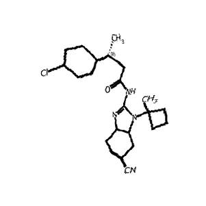 C[C@H](CC(=O)NC1=NC2CCC(C#N)CC2N1C1(C)CCC1)C1CCC(Cl)CC1